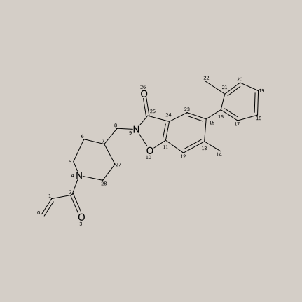 C=CC(=O)N1CCC(Cn2oc3cc(C)c(-c4ccccc4C)cc3c2=O)CC1